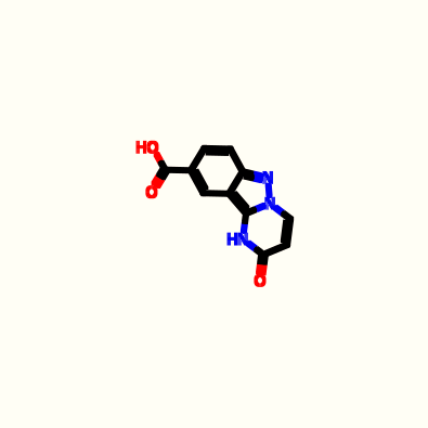 O=C(O)c1ccc2nn3ccc(=O)[nH]c3c2c1